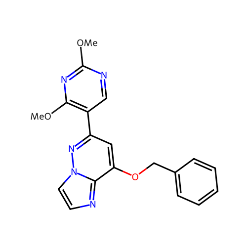 COc1ncc(-c2cc(OCc3ccccc3)c3nccn3n2)c(OC)n1